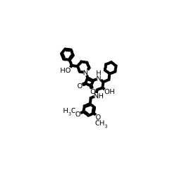 COc1cc(CNCC(O)C(CC2CCCCC2)Nc2c(N3CCCC(C(O)c4ccccc4)C3)c(=O)c2=O)cc(OC)c1